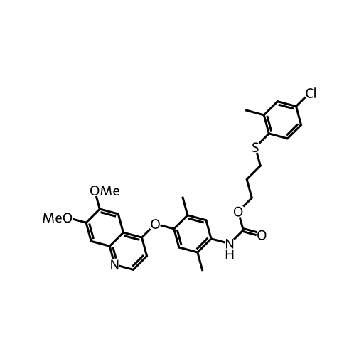 COc1cc2nccc(Oc3cc(C)c(NC(=O)OCCCSc4ccc(Cl)cc4C)cc3C)c2cc1OC